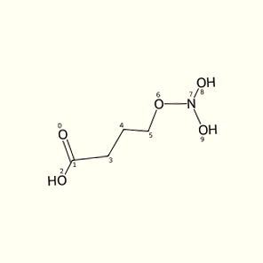 O=C(O)CCCON(O)O